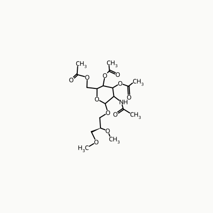 COC[C@@H](COC1OC(COC(C)=O)C(OC(C)=O)C(OC(C)=O)C1NC(C)=O)OC